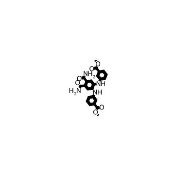 COC(=O)c1cccc(Nc2cc(C(N)=O)c(C(N)=O)cc2Nc2cccc(C(=O)OC)c2)c1